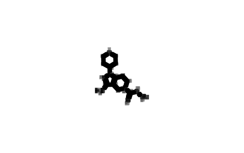 Bc1nn(C2CCOCC2)c2c1CN(C(=O)OC(C)(C)C)CC2